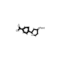 CCCCCC1CCOC(c2ccc(C(=O)Cl)cc2)C1